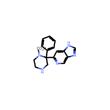 O=C(O)N1CCNCC1(c1ccccc1)c1cc2[nH]cnc2cn1